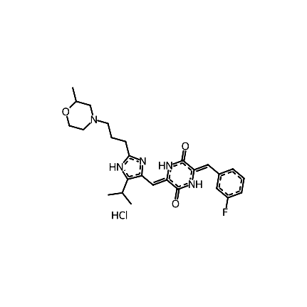 CC1CN(CCCc2nc(/C=c3\[nH]c(=O)/c(=C/c4cccc(F)c4)[nH]c3=O)c(C(C)C)[nH]2)CCO1.Cl